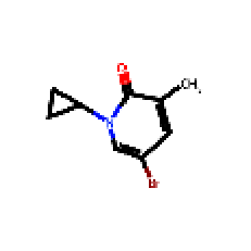 Cc1cc(Br)cn(C2CC2)c1=O